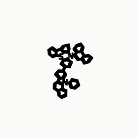 c1ccc(-n2c3cc(-c4ccc(N(c5cc6ccccc6c6ccccc56)c5cccc6c5sc5ccccc56)cc4)ccc3c3ccc4ccccc4c32)cc1